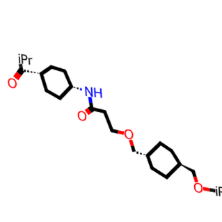 CC(C)OC[C@H]1CC[C@H](COCCC(=O)N[C@H]2CC[C@@H](C(=O)C(C)C)CC2)CC1